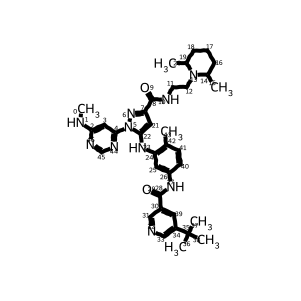 CNc1cc(-n2nc(C(=O)NCCN3C(C)CCCC3C)cc2Nc2cc(NC(=O)c3cncc(C(C)(C)C)c3)ccc2C)ncn1